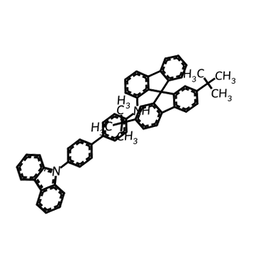 CC(C)(C)c1ccc2c(c1)C1(c3cc(C(C)(C)C)ccc3-2)c2ccccc2-c2cccc(Nc3ccc(-c4ccc(-n5c6ccccc6c6ccccc65)cc4)cc3)c21